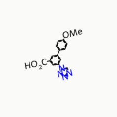 COc1ccc(-c2cc(C(=O)O)cc(-n3cnnn3)c2)cc1